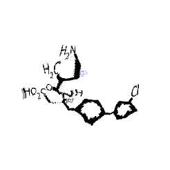 C=C(/C=C\N)C(=O)N[C@@H](CC(=O)O)Cc1ccc(-c2cccc(Cl)c2)cc1